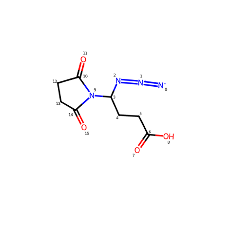 [N-]=[N+]=NC(CCC(=O)O)N1C(=O)CCC1=O